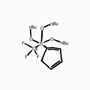 CCCC[O][Zr]([O]CCCC)([O]CCCC)([C]1=CC=CC1)[Ge]([F])([F])[F]